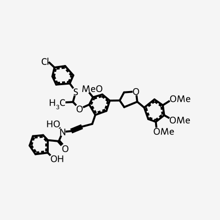 COc1cc(C2COC(c3cc(OC)c(OC)c(OC)c3)C2)cc(CC#CN(O)C(=O)c2ccccc2O)c1OC(C)Sc1ccc(Cl)cc1